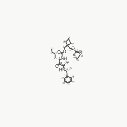 CCCC[C@H](NC(=O)OCC1(COC2=NCCS2)CCC1)C(=O)C(=O)N[C@H](C)c1ccccc1